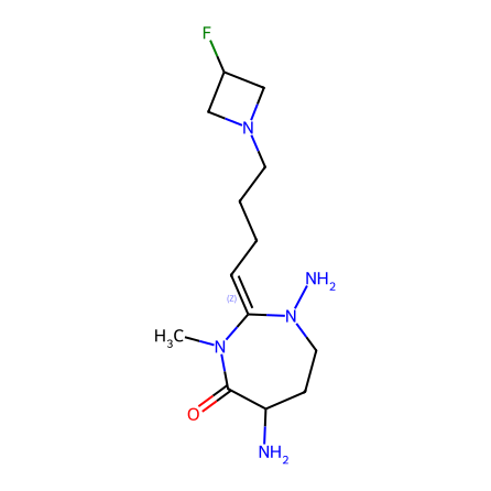 CN1C(=O)C(N)CCN(N)/C1=C\CCCN1CC(F)C1